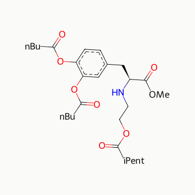 CCCCC(=O)Oc1ccc(C[C@H](NCCOC(=O)C(C)CCC)C(=O)OC)cc1OC(=O)CCCC